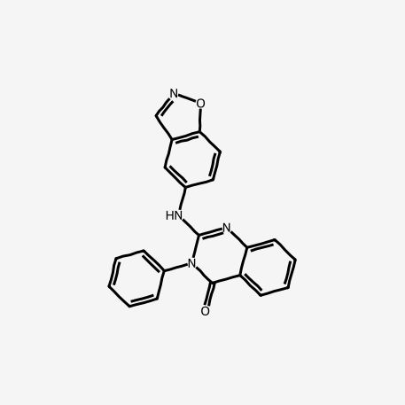 O=c1c2ccccc2nc(Nc2ccc3oncc3c2)n1-c1ccccc1